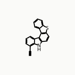 C#Cc1cccc2c1[nH]c1ccc3sc4ccccc4c3c12